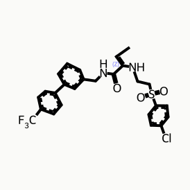 C/C=C(\NCCS(=O)(=O)c1ccc(Cl)cc1)C(=O)NCc1cccc(-c2ccc(C(F)(F)F)cc2)c1